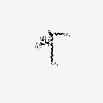 CCCCCCCCCCC[C@@H](C[C@H]1OC(=O)[C@@H]1CCCCCC)OC(=O)[C@H](CC(C)C)NC=O